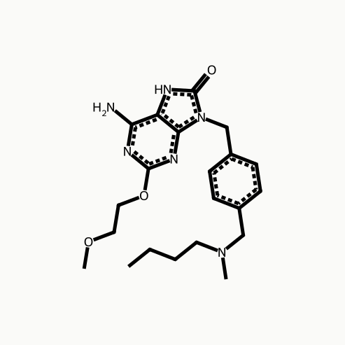 CCCCN(C)Cc1ccc(Cn2c(=O)[nH]c3c(N)nc(OCCOC)nc32)cc1